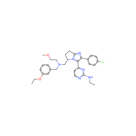 CCNc1nccc(-c2c(-c3ccc(F)cc3)nc3n2C(CN(CCOC)Cc2cccc(OCC)c2)CC3)n1